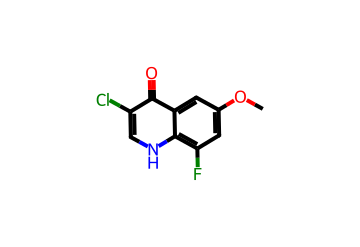 COc1cc(F)c2[nH]cc(Cl)c(=O)c2c1